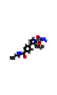 N#CCCNC(=O)c1ccc(-c2ccn(S(N)(=O)=O)c2C(=O)O)cc1